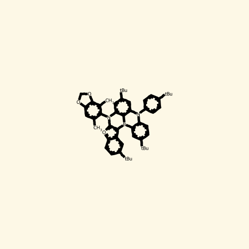 Cc1cc2c(c(C)c1N1c3cc(C(C)(C)C)cc4c3B(c3cc(C(C)(C)C)ccc3N4c3ccc(C(C)(C)C)cc3)c3c1oc1ccc(C(C)(C)C)cc31)OCO2